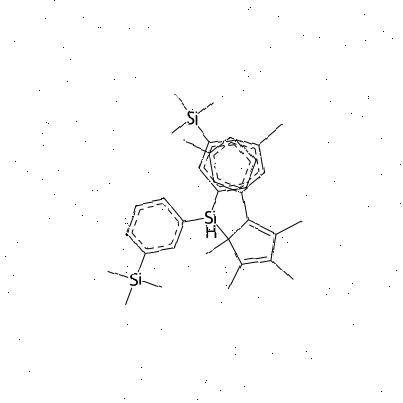 CC1=C(C)C(C)([SiH](c2cccc([Si](C)(C)C)c2)c2cccc([Si](C)(C)C)c2)C(c2cc(C)cc(C)c2)=C1C